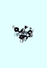 N#Cc1cnc2c(Cl)cc(NC(C3=CN(C4CC4)NN3)c3ccc(F)cc3)cc2c1Nc1cnc(F)c(F)c1